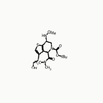 CONC1CN(C(=O)OC(C)(C)C)C(C(=O)N(C)C)c2c(CCO)csc21